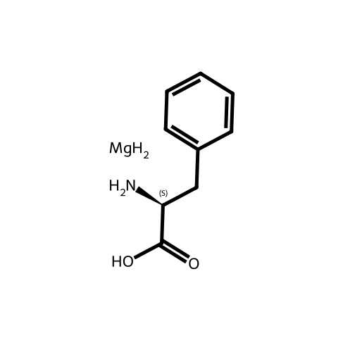 N[C@@H](Cc1ccccc1)C(=O)O.[MgH2]